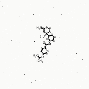 CC(C)Oc1ccc(C(=O)Nc2cccc(C3(C)CCSC(N)=N3)c2)nc1